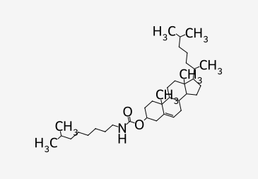 CC(C)CCCCCCNC(=O)OC1CCC2(C)C(=CCC3C2CCC2(C)C(C(C)CCCC(C)C)CCC32)C1